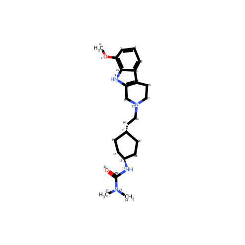 COc1cccc2c3c([nH]c12)CN(CC[C@H]1CC[C@H](NC(=O)N(C)C)CC1)CC3